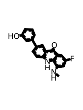 CNc1cc(F)cc2c(=O)c3cc(-c4cccc(O)c4)ccc3[nH]c12